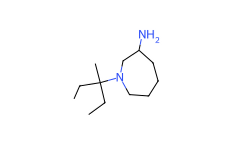 CCC(C)(CC)N1CCCCC(N)C1